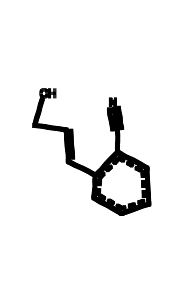 N#Cc1ccccc1/C=C/CO